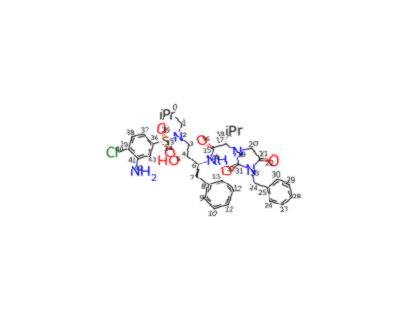 CC(C)CN(C[C@@H](O)[C@H](Cc1ccccc1)NC(=O)[C@H](C(C)C)N1CC(=O)N(Cc2ccccc2)C1=O)S(=O)(=O)c1ccc(Cl)c(N)c1